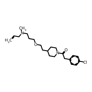 C=CCN(C)CCCOCCC1CCN(C(=O)Cc2ccc(Cl)cc2)CC1